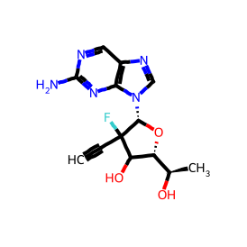 C#CC1(F)C(O)[C@@H]([C@@H](C)O)O[C@H]1n1cnc2cnc(N)nc21